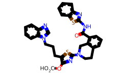 O=C(O)Oc1nc(N2CCc3cccc(C(=O)Nc4nc5ccccc5s4)c3C2)sc1CCCn1cnc2ccccc21